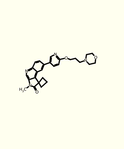 CN1C(=O)C2(CCC2)c2c1cnc1ccc(-c3ccc(OCCCN4CCOCC4)nc3)cc21